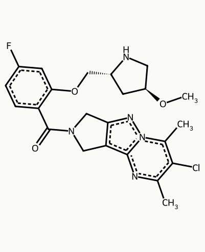 CO[C@@H]1CN[C@@H](COc2cc(F)ccc2C(=O)N2Cc3nn4c(C)c(Cl)c(C)nc4c3C2)C1